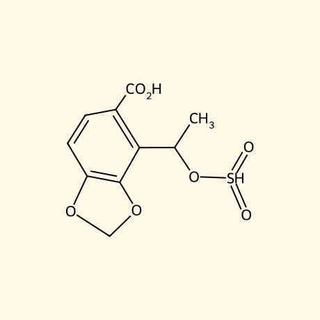 CC(O[SH](=O)=O)c1c(C(=O)O)ccc2c1OCO2